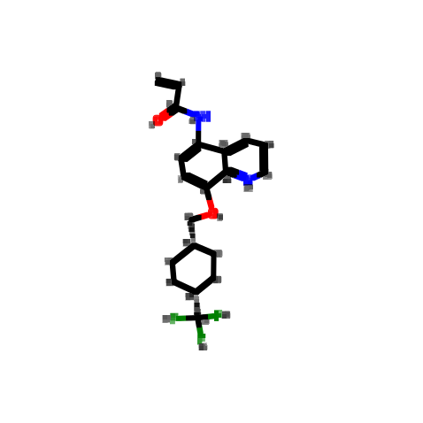 C=CC(=O)Nc1ccc(OC[C@H]2CC[C@@H](C(F)(F)F)CC2)c2ncccc12